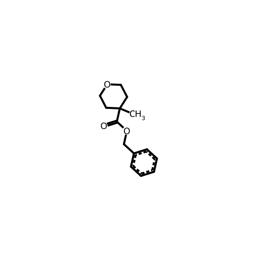 CC1(C(=O)OCc2ccccc2)CCOCC1